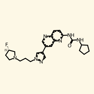 O=C(Nc1ccc2ncc(-c3cnn(CCCN4CC[C@H](F)C4)c3)cc2n1)NC1CCCC1